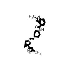 Cc1cc(C23CC2CN(CC[C@H]2CC[C@H](NC(=O)c4cccc5nn(C)cc45)CC2)C3)no1